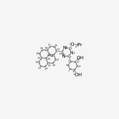 CC(C)Oc1nc(-c2ccc(O)cc2O)nc(-c2ccc3ccc4cccc5ccc2c3c45)n1